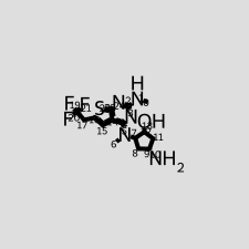 CNc1nc(N(C)C2CC(N)CC2O)c2cc(CC(F)(F)F)sc2n1